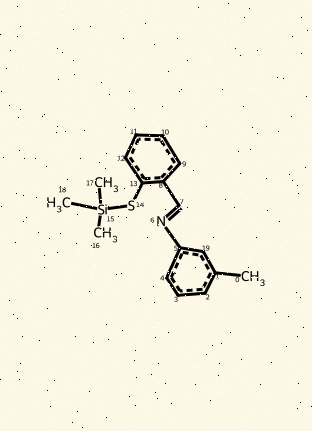 Cc1cccc(N=Cc2ccccc2S[Si](C)(C)C)c1